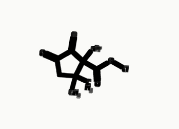 CCCC1(C(=O)OCl)C(=O)C(=O)CC1(C)C